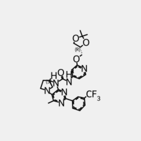 Cc1nc(-c2cccc(C(F)(F)F)c2)nc2c1N1CC[C@@H](C1)N2C(=O)Nc1ccnc(OC[C@@H]2COC(C)(C)O2)c1